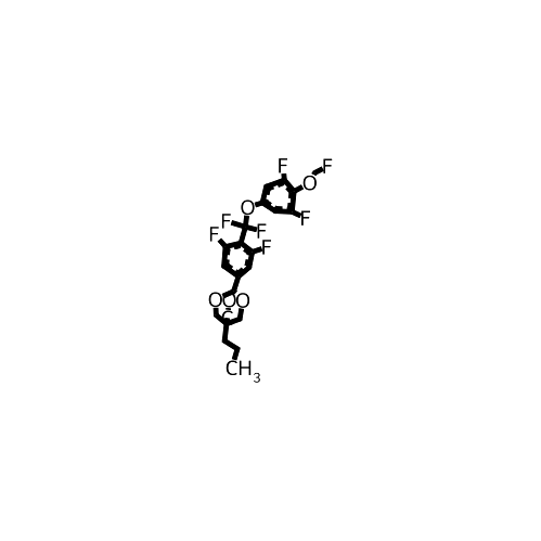 CCCC12COC(c3cc(F)c(C(F)(F)Oc4cc(F)c(OCF)c(F)c4)c(F)c3)(OC1)OC2